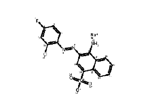 Nc1c(N=Nc2ccc(F)cc2Cl)cc(S(=O)(=O)[O-])c2ccccc12.[Na+]